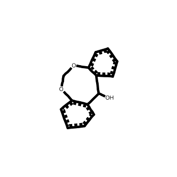 OC1c2ccccc2OCOc2ccccc21